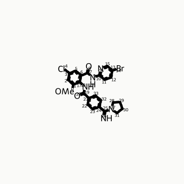 COc1cc(Cl)cc(C(=O)Nc2ccc(Br)cn2)c1NC(=O)c1ccc(C(=N)N2CCCC2)cc1